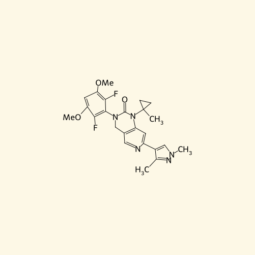 COc1cc(OC)c(F)c(N2Cc3cnc(-c4cn(C)nc4C)cc3N(C3(C)CC3)C2=O)c1F